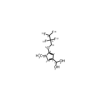 Cn1nc(C(O)O)cc1OCC(F)(F)C(F)F